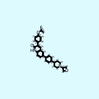 O=c1[nH]c2ccc(-c3ccc(C4CCN(C5COC5)CC4)cc3)cc2cc1-c1ccc(OC(F)F)cc1